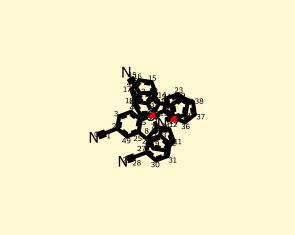 N#Cc1ccc([Si](c2ccccc2)(c2ccccc2)c2ccccc2)c(-c2c(C#N)cccc2-n2c3ccccc3c3cc(C#N)ccc32)c1